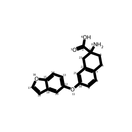 NC1(C(=O)O)CCc2ccc(Oc3ccc4occc4c3)cc2C1